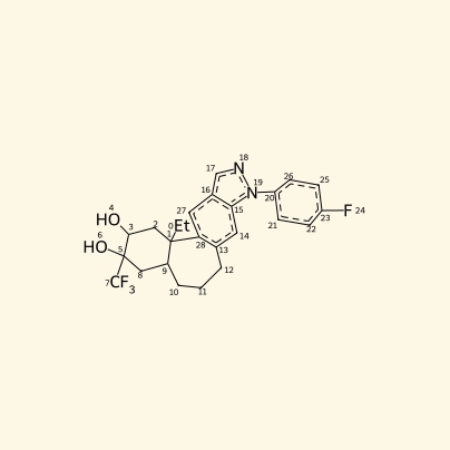 CCC12CC(O)C(O)(C(F)(F)F)CC1CCCc1cc3c(cnn3-c3ccc(F)cc3)cc12